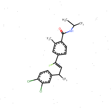 CC(NC(=O)c1ccc(/C(F)=C/C(c2ccc(Cl)c(Cl)c2)C(F)(F)F)cc1C(F)(F)F)C(F)(F)F